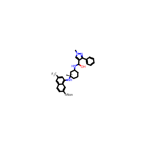 CCCCCCCCCc1ccc2cc(C(F)(F)F)cc(N[C@@]3(C)CCCC(NC(O)c4cn(C)nc4-c4ccccc4)C3)c2c1